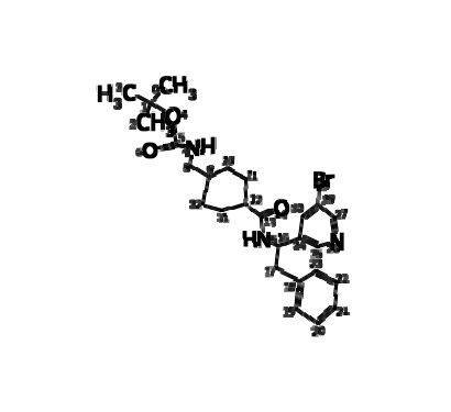 CC(C)(C)OC(=O)NCC1CCC(C(=O)NC(Cc2ccccc2)c2cncc(Br)c2)CC1